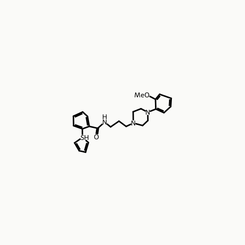 COc1ccccc1N1CCN(CCCNC(=O)c2ccccc2[SH]2C=CC=C2)CC1